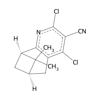 CC1(C)[C@H]2Cc3c(nc(Cl)c(C#N)c3Cl)[C@@H]1C2